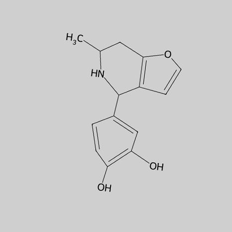 CC1Cc2occc2C(c2ccc(O)c(O)c2)N1